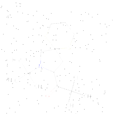 CC(C)(C)C(=O)C1CC2(CN1C(C)(C)C)SCCCS2